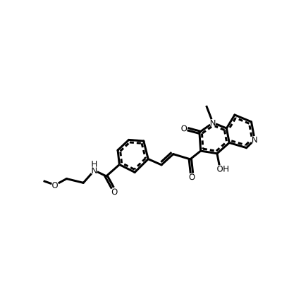 COCCNC(=O)c1cccc(/C=C/C(=O)c2c(O)c3cnccc3n(C)c2=O)c1